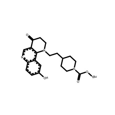 CC(C)(C)OC(=O)N1CCC(CCN2CCC(=O)c3cnc4ccc(O)cc4c32)CC1